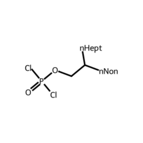 CCCCCCCCCC(CCCCCCC)COP(=O)(Cl)Cl